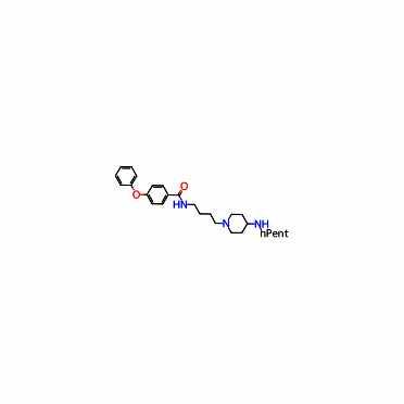 CCCCCNC1CCN(CCCCNC(=O)c2ccc(Oc3ccccc3)cc2)CC1